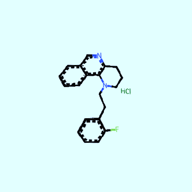 Cl.Fc1ccccc1CCN1CCCc2ncc3ccccc3c21